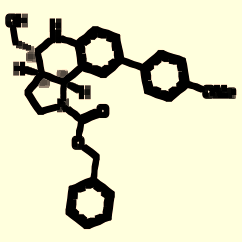 COc1ccc(-c2ccc3c(c2)[C@H]2[C@H](CCN2C(=O)OCc2ccccc2)[C@H](CO)N3)cc1